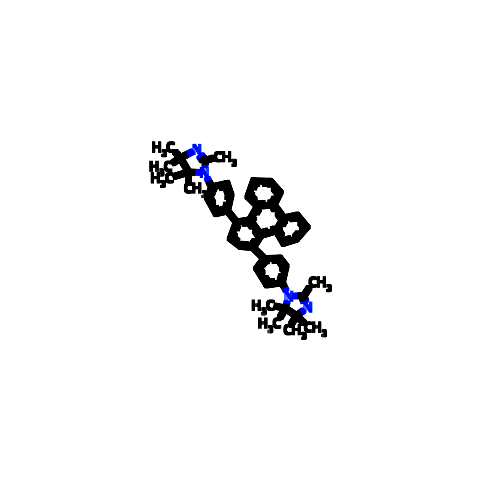 CC1=NC(C)(C)C(C)(C)N1c1ccc(-c2ccc(-c3ccc(N4C(C)=NC(C)(C)C4(C)C)cc3)c3c4ccccc4c4ccccc4c23)cc1